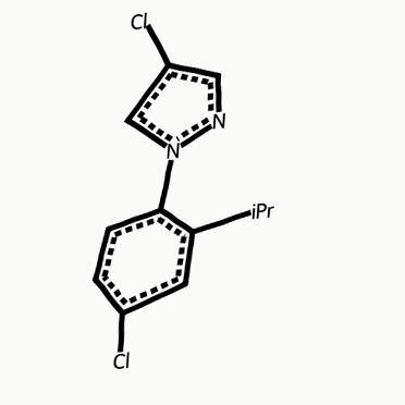 CC(C)c1cc(Cl)ccc1-n1cc(Cl)cn1